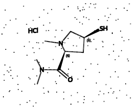 CN(C)C(=O)[C@@H]1C[C@H](S)CN1C.Cl